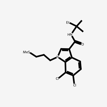 CCC(C)(C)NC(=O)c1cn(CCCSC)c2c(Cl)c(Cl)ccc12